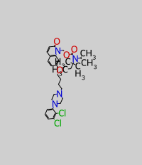 CCC(C)(C)N(C(=O)OCn1c(=O)ccc2ccc(OCCCCN3CCN(c4cccc(Cl)c4Cl)CC3)cc21)C(C)C